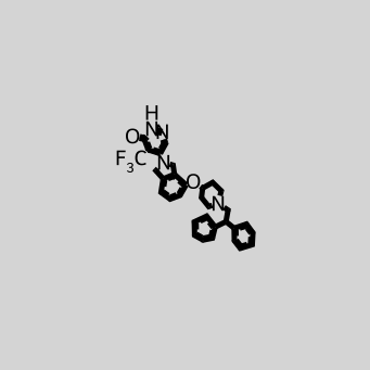 O=c1[nH]ncc(N2Cc3cccc(OC4CCN(CC(c5ccccc5)c5ccccc5)CC4)c3C2)c1C(F)(F)F